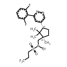 CCN(C[C@]1(C)CC[C@@H](c2cnnc(-c3c(F)cccc3F)c2)C1(C)C)S(=O)(=O)CCC(F)(F)F